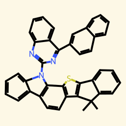 CC1(C)c2ccccc2-c2sc3c(ccc4c5ccccc5n(-c5nc(-c6ccc7ccccc7c6)c6ccccc6n5)c43)c21